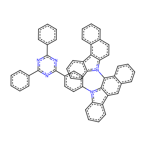 c1ccc(-c2nc(-c3ccccc3)nc(-c3ccc(-n4c5ccccc5c5cc6ccccc6c(-n6c7ccccc7c7c8ccccc8ccc76)c54)cc3)n2)cc1